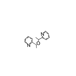 CC(OC(C)c1ccccn1)c1ccccn1